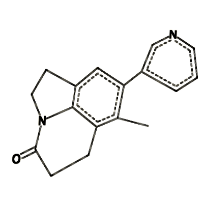 Cc1c(-c2cccnc2)cc2c3c1CCC(=O)N3CC2